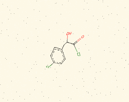 O=C(Cl)C(O)c1ccc(Cl)cc1